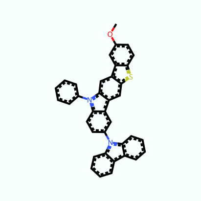 COc1ccc2sc3cc4c5cc(-n6c7ccccc7c7ccccc76)ccc5n(-c5ccccc5)c4cc3c2c1